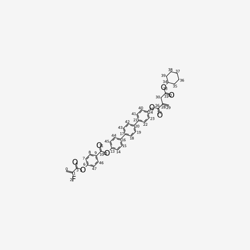 C=C(F)C(=O)Oc1ccc(C(=O)Oc2ccc(-c3ccc(-c4ccc(OC(=O)C(=C)CC(=O)OC5CCCCC5)cc4)cc3)cc2)cc1